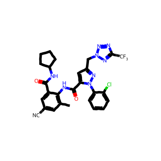 Cc1cc(C#N)cc(C(=O)NC2CCCC2)c1NC(=O)c1cc(Cn2nnc(C(F)(F)F)n2)nn1-c1ccccc1Cl